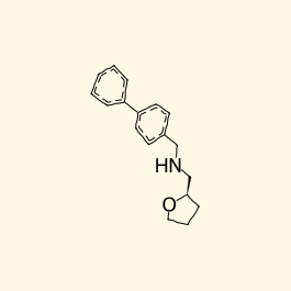 c1ccc(-c2ccc(CNC[C@H]3CCCO3)cc2)cc1